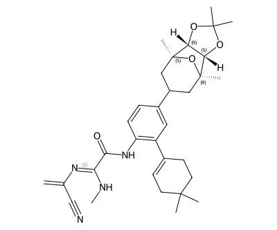 C=C(C#N)/N=C(\NC)C(=O)Nc1ccc(C2C[C@@]3(C)O[C@@](C)(C2)[C@@H]2OC(C)(C)O[C@@H]23)cc1C1=CCC(C)(C)CC1